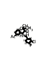 CC(=O)c1ccc2c(c1)[C@H](NCc1ccc(F)c(Cl)c1)[C@H](O)C(C)(C)O2